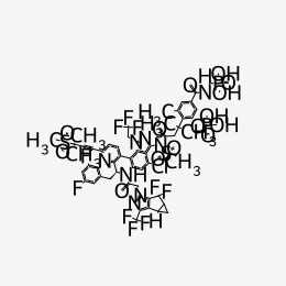 Cc1cc(C(=O)NCP(=O)(O)O)cc(OP(=O)(O)O)c1C(C)(C)CC(=O)N(c1nn(CC(F)(F)F)c2c(-c3ccc(C#CC(C)(C)S(C)(=O)=O)nc3[C@H](Cc3cc(F)cc(F)c3)NC(=O)Cn3nc(C(F)(F)F)c4c3C(F)(F)C3C[C@H]43)ccc(Cl)c12)S(C)(=O)=O